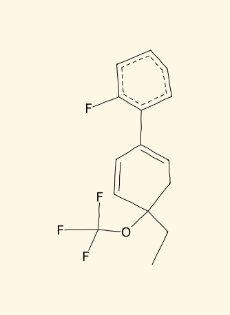 CCC1(OC(F)(F)F)C=CC(c2ccccc2F)=CC1